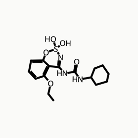 CCOc1cccc2c1C(NC(=O)NC1CCCCC1)=NS(O)(O)O2